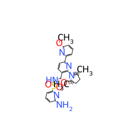 COc1cccc(-c2ccc(C(=O)NS(=O)(=O)c3cccc(N)n3)c(N3[C@H](C)CC[C@@H]3C)n2)n1